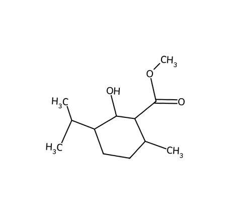 COC(=O)C1C(C)CCC(C(C)C)C1O